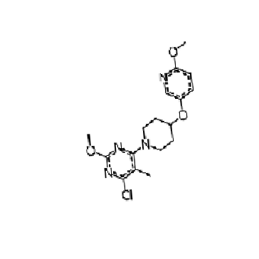 COc1ccc(OC2CCN(c3nc(OC)nc(Cl)c3C)CC2)cn1